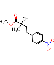 COC(=O)C(C)(C)CCc1ccc([N+](=O)[O-])cc1